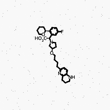 O=C(O)[C@@H](c1cc(F)ccc1[C@@H]1CCCCO1)N1CC[C@@H](OCCCCc2ccc3c(n2)CCCN3)C1